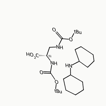 C1CCC(NC2CCCCC2)CC1.CC(C)(C)OC(=O)NC[C@H](NC(=O)OC(C)(C)C)C(=O)O